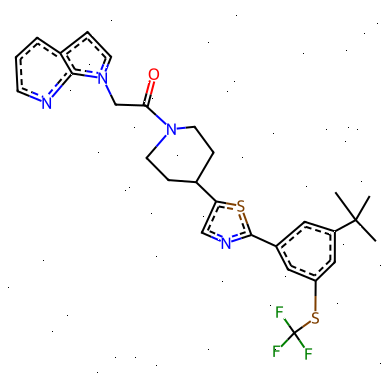 CC(C)(C)c1cc(SC(F)(F)F)cc(-c2ncc(C3CCN(C(=O)Cn4ccc5cccnc54)CC3)s2)c1